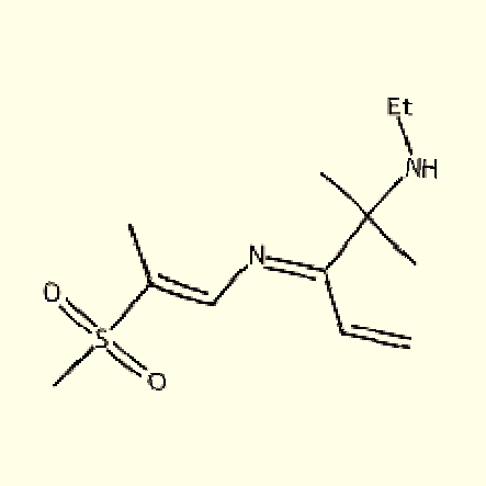 C=C/C(=N\C=C(/C)S(C)(=O)=O)C(C)(C)NCC